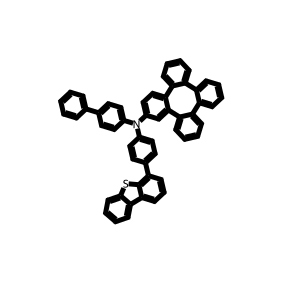 c1ccc(-c2ccc(N(c3ccc(-c4cccc5c4sc4ccccc45)cc3)c3ccc4c(c3)-c3ccccc3-c3ccccc3-c3ccccc3-4)cc2)cc1